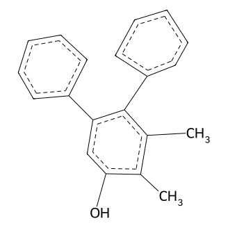 Cc1c(O)cc(-c2ccccc2)c(-c2ccccc2)c1C